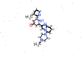 Cc1cccnc1C1CC(=O)CC(c2cn3c(N4CCN(C)CC4)cccc3n2)N1